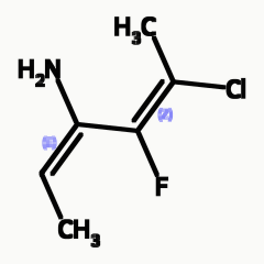 C/C=C(N)\C(F)=C(/C)Cl